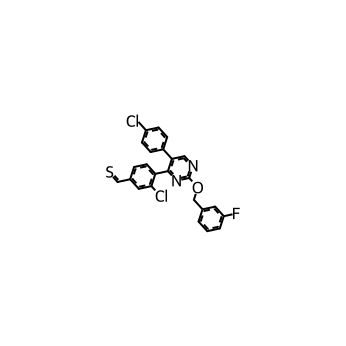 Fc1cccc(COc2ncc(-c3ccc(Cl)cc3)c(-c3ccc(C=S)cc3Cl)n2)c1